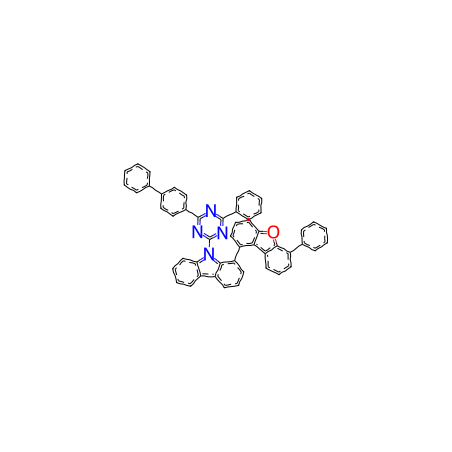 c1ccc(-c2ccc(-c3nc(-c4ccccc4)nc(-n4c5ccccc5c5cccc(-c6cccc7oc8c(-c9ccccc9)cccc8c67)c54)n3)cc2)cc1